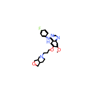 COc1cc2ncnc(Nc3ccc(F)cc3)c2cc1OCCCN1CCC2COCC2C1